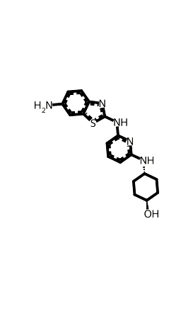 Nc1ccc2nc(Nc3cccc(N[C@H]4CC[C@H](O)CC4)n3)sc2c1